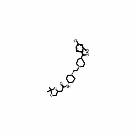 CC1(C)OCC(CC(=O)N[C@H]2CC[C@H](CCN3CCC(c4noc5cc(Cl)ccc45)CC3)CC2)O1